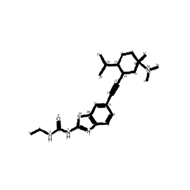 CCNC(=O)Nc1nc2ccc(C#CC3CC(C)(N(C)C)CCC3C(C)C)cc2s1